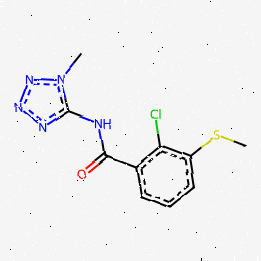 CSc1cccc(C(=O)Nc2nnnn2C)c1Cl